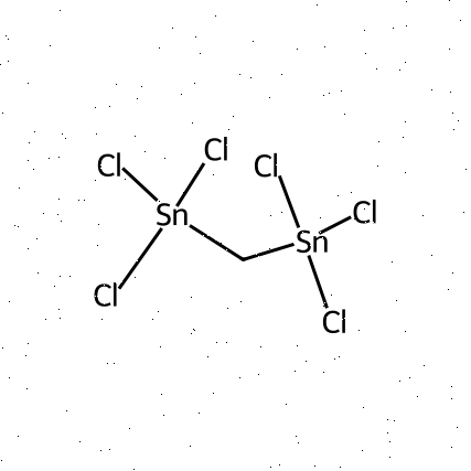 [Cl][Sn]([Cl])([Cl])[CH2][Sn]([Cl])([Cl])[Cl]